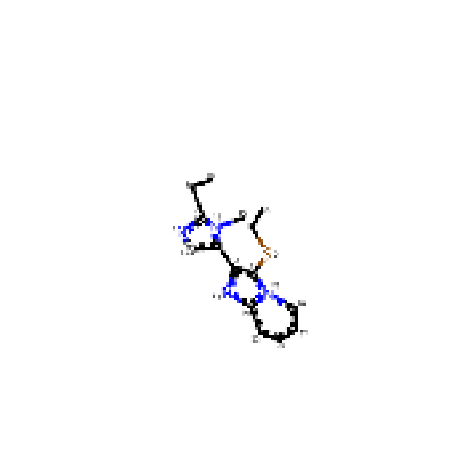 CCSc1c(-c2bnc(CC)n2C)nc2ccccn12